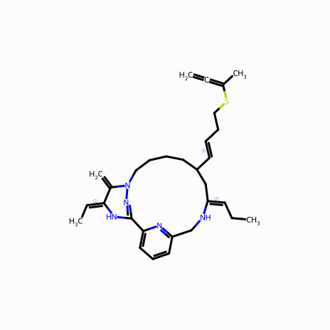 C=C=C(C)SCC/C=C/C1CCCCN2N=C(N/C(=C\C)C2=C)c2cccc(n2)CN/C(=C\CC)C1